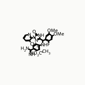 CC(=O)O.COc1cc(F)c(C(Nc2ccc(C(=N)N)cc2)c2nn(-c3ncccc3C)c(=O)[nH]2)cc1OC